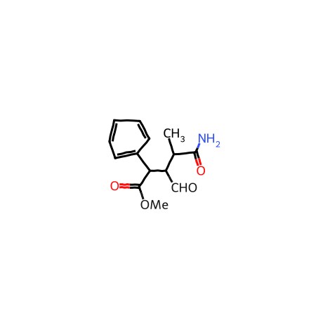 COC(=O)C(c1ccccc1)C(C=O)C(C)C(N)=O